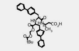 C[C@H](CC(=O)O)NC(=O)[C@H](Cc1ccc(-c2ccccc2)cc1)NC(Cc1ccc(-c2ccccc2)cc1)C(=O)OCOC(=O)C(C)(C)C